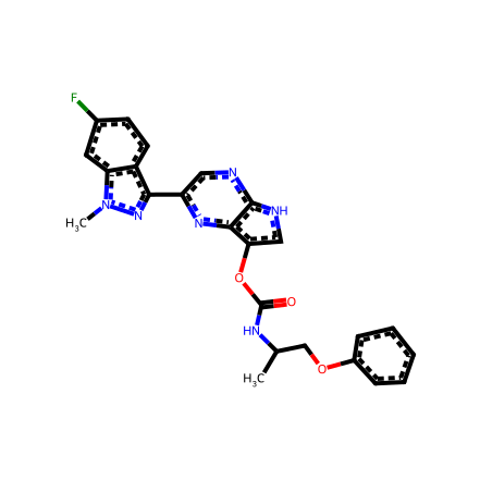 CC(COc1ccccc1)NC(=O)Oc1c[nH]c2ncc(-c3nn(C)c4cc(F)ccc34)nc12